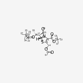 CC(=O)OCC1=C(C(=O)OC(C)(C)C)N2C(=O)[C@H]([C@@H](C)O[Si](C)(C)C(C)(C)C)[C@H]2S1